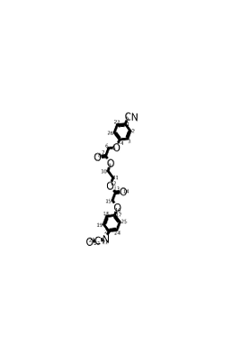 N#Cc1ccc(OCC(=O)OCCOC(=O)COc2ccc(N=C=O)cc2)cc1